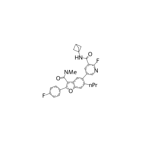 CCCc1cc2oc(-c3ccc(F)cc3)c(C(=O)NC)c2cc1-c1cnc(F)c(C(=O)NC23CC(C2)C3)c1